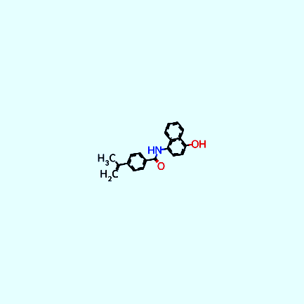 C=C(C)c1ccc(C(=O)Nc2ccc(O)c3ccccc23)cc1